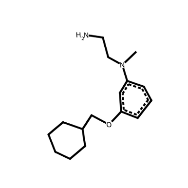 CN(CCN)c1cccc(OCC2CCCCC2)c1